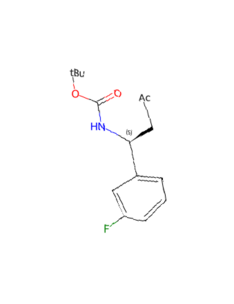 CC(=O)C[C@H](NC(=O)OC(C)(C)C)c1cccc(F)c1